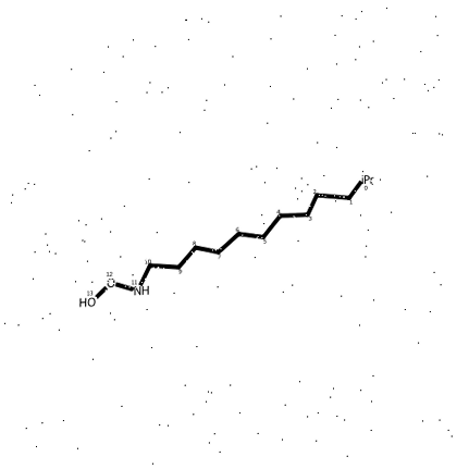 CC(C)CCCCCCCCCCNOO